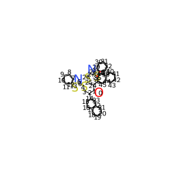 O=C(C(CSc1nc2ccccc2s1)c1ccc2ccccc2c1)C(CSc1nc2ccccc2s1)c1ccc2ccccc2c1